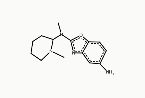 CN1CCCCC1N(C)c1nc2cc(N)ccc2o1